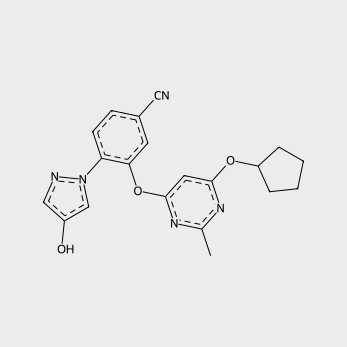 Cc1nc(Oc2cc(C#N)ccc2-n2cc(O)cn2)cc(OC2CCCC2)n1